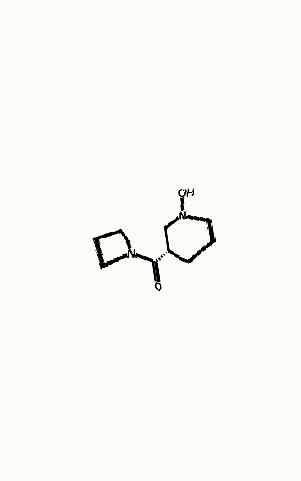 O=C([C@H]1CCCN(O)C1)N1CCC1